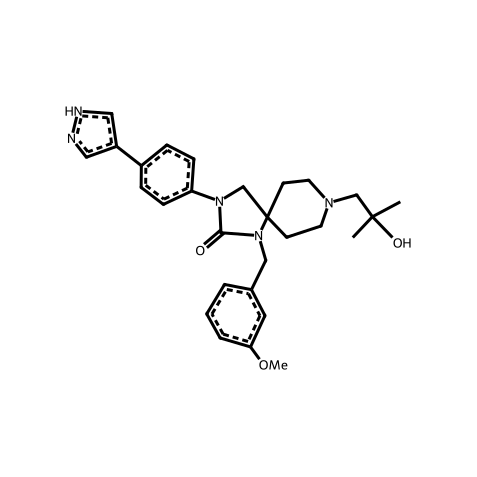 COc1cccc(CN2C(=O)N(c3ccc(-c4cn[nH]c4)cc3)CC23CCN(CC(C)(C)O)CC3)c1